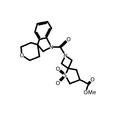 COC(=O)C1CC2(CN(C(=O)N3CC4(CCOCC4)c4ccccc43)C2)S(=O)(=O)C1